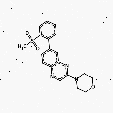 CS(=O)(=O)c1ccccc1-c1ccc2ncc(N3CCOCC3)nc2c1